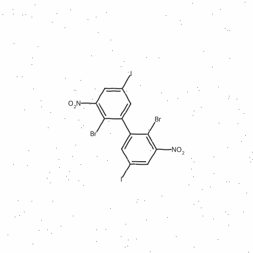 O=[N+]([O-])c1cc(I)cc(-c2cc(I)cc([N+](=O)[O-])c2Br)c1Br